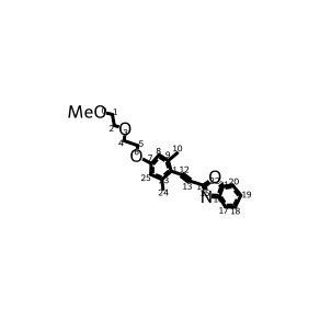 COCCOCCOc1cc(C)c(C#Cc2nc3ccccc3o2)c(C)c1